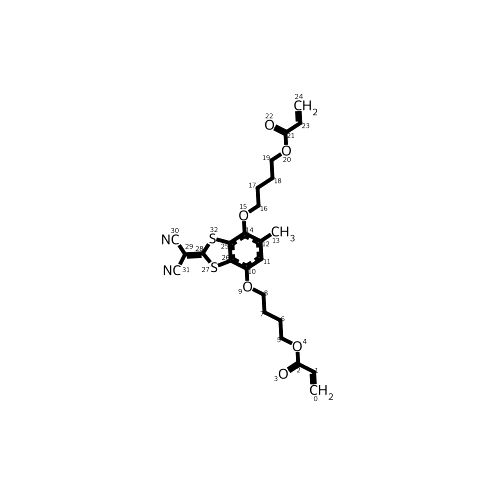 C=CC(=O)OCCCCOc1cc(C)c(OCCCCOC(=O)C=C)c2c1SC(=C(C#N)C#N)S2